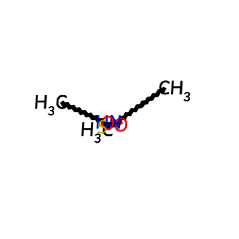 CCCCCCCCC=CCCCCCCCC(=O)NCC(C)OC(=S)CCCCCCCCCCCCCCC